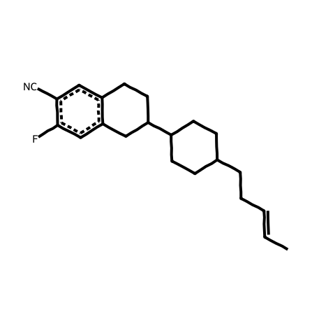 C/C=C/CCC1CCC(C2CCc3cc(C#N)c(F)cc3C2)CC1